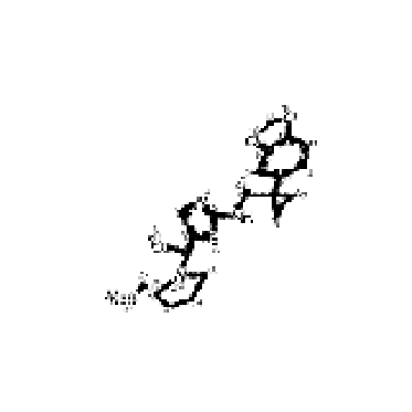 CCC(c1cnc(NC(=O)C2(c3ccc4c(c3)OCO4)CC2)s1)N1CCC[C@@H]1COC